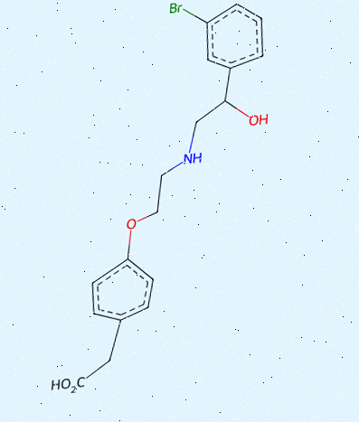 O=C(O)Cc1ccc(OCCNCC(O)c2cccc(Br)c2)cc1